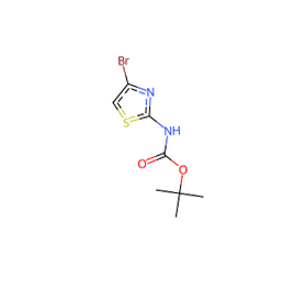 CC(C)(C)OC(=O)Nc1nc(Br)cs1